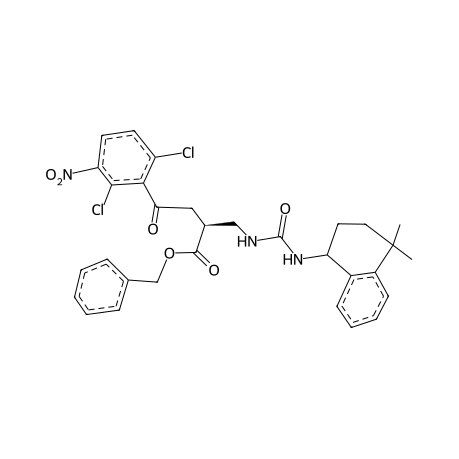 CC1(C)CCC(NC(=O)NC[C@H](CC(=O)c2c(Cl)ccc([N+](=O)[O-])c2Cl)C(=O)OCc2ccccc2)c2ccccc21